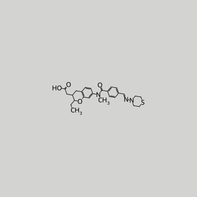 CCC1Oc2cc(N(C)C(=O)c3ccc(C=NN4CCSCC4)cc3)ccc2CC1CC(=O)O